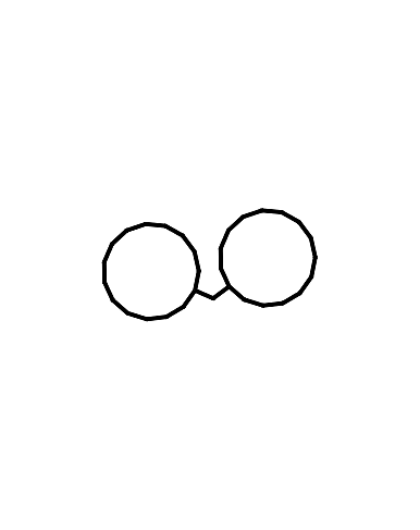 C1CCCCCCCC(CC2CCCCCCCCCCCCCC2)CCCCCC1